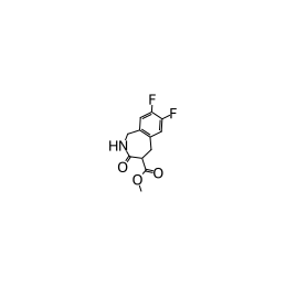 COC(=O)C1Cc2cc(F)c(F)cc2CNC1=O